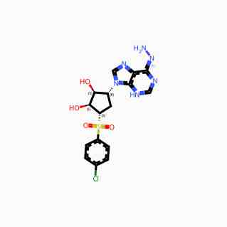 N/N=c1/nc[nH]c2c1ncn2[C@@H]1C[C@H](S(=O)(=O)c2ccc(Cl)cc2)[C@@H](O)[C@H]1O